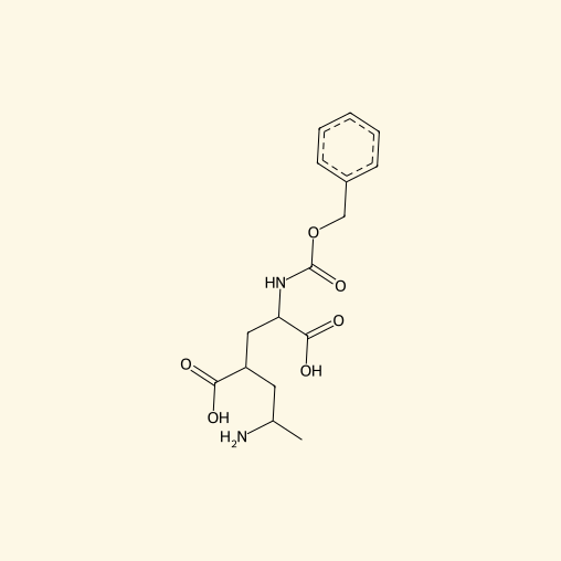 CC(N)CC(CC(NC(=O)OCc1ccccc1)C(=O)O)C(=O)O